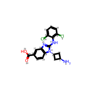 N[C@H]1C[C@H](n2c(Nc3c(Cl)cccc3Cl)nc3cc(C(=O)O)ccc32)C1